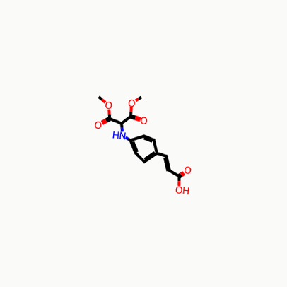 COC(=O)C(Nc1ccc(C=CC(=O)O)cc1)C(=O)OC